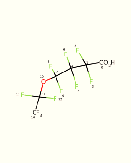 O=C(O)C(F)(F)C(F)(F)C(F)(F)OC(F)(F)C(F)(F)F